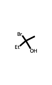 CCC(C)(O)Br